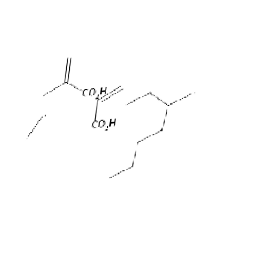 C=C(C)C(=O)O.C=CC(=O)O.[CH2]C.[CH2]C(CC)CCCC